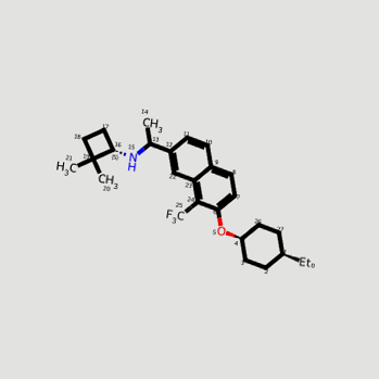 CC[C@H]1CC[C@@H](Oc2ccc3ccc(C(C)N[C@H]4CCC4(C)C)cc3c2C(F)(F)F)CC1